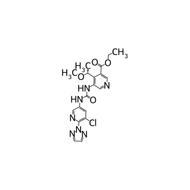 CCOC(=O)c1cncc(NC(=O)Nc2cnc(-n3nccn3)c(Cl)c2)c1[C@H](C)OC